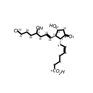 O=C(O)CCC/C=C\C[C@H]1C(=O)C[C@@H](O)[C@@H]1/C=C/CC(O)CCCCl